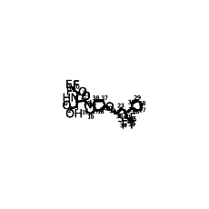 O=C(O)CC(NC(=O)C(F)(F)F)C(=O)N1CCc2cc(OCc3cc(-c4ccccc4)c(C(F)(F)F)s3)ccc21